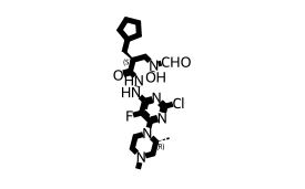 C[C@@H]1CN(C)CCN1c1nc(Cl)nc(NNC(=O)[C@@H](CC2CCCC2)CN(O)C=O)c1F